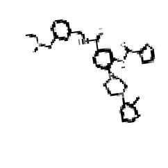 CCN(C)Cc1cccc(CNC(=O)c2ccc(N3CCN(c4ccccc4C)CC3)c(NC(=O)C3=CC=CC3)c2)c1